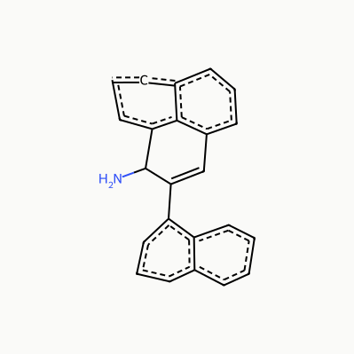 NC1C(c2cccc3ccccc23)=Cc2cccc3cccc1c23